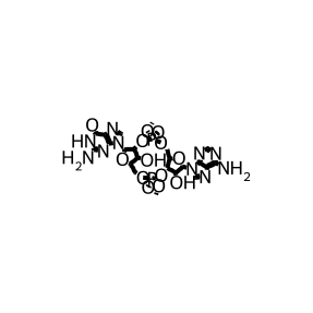 COP1(=O)OCC2OC(n3cnc4c(=O)[nH]c(N)nc43)C(OP(=O)(OC)OCC3OC(n4cnc5c(N)ncnc54)C(O)C3O1)C2O